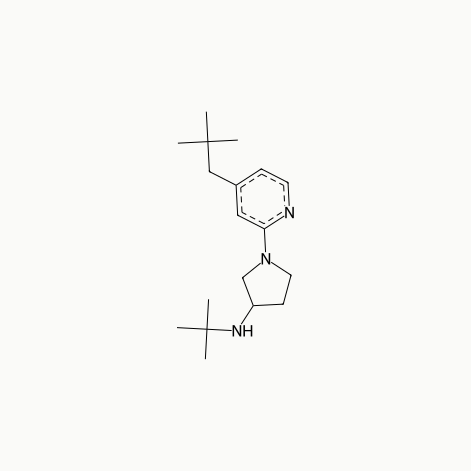 CC(C)(C)Cc1ccnc(N2CCC(NC(C)(C)C)C2)c1